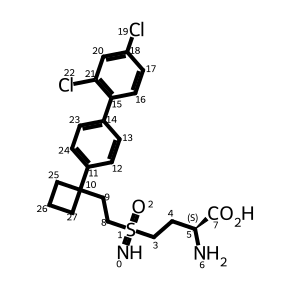 N=S(=O)(CC[C@H](N)C(=O)O)CCC1(c2ccc(-c3ccc(Cl)cc3Cl)cc2)CCC1